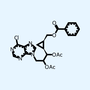 CC(=O)OC(Cn1cnc2c(Cl)ncnc21)C(OC(C)=O)[C@H]1C[C@H]1COC(=O)c1ccccc1